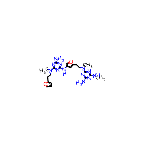 CNc1nc(N)nc(N(C)CCc2cc(Nc3nc(N)nc(N(C)CCc4ccco4)n3)co2)n1